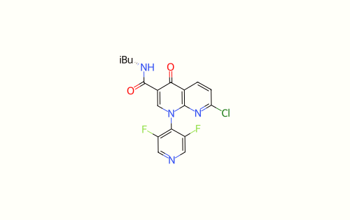 CC[C@@H](C)NC(=O)c1cn(-c2c(F)cncc2F)c2nc(Cl)ccc2c1=O